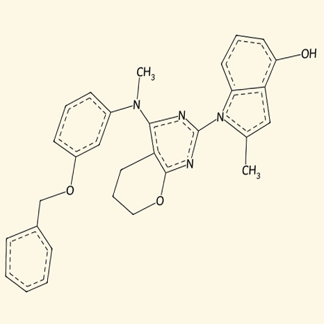 Cc1cc2c(O)cccc2n1-c1nc2c(c(N(C)c3cccc(OCc4ccccc4)c3)n1)CCCO2